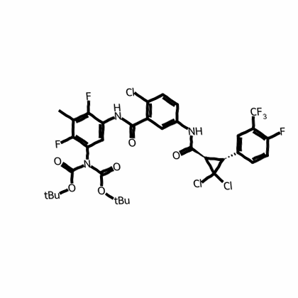 Cc1c(F)c(NC(=O)c2cc(NC(=O)[C@H]3[C@H](c4ccc(F)c(C(F)(F)F)c4)C3(Cl)Cl)ccc2Cl)cc(N(C(=O)OC(C)(C)C)C(=O)OC(C)(C)C)c1F